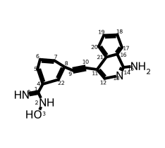 N=C(NO)c1cccc(C#Cc2cnc(N)c3ccccc23)c1